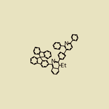 CCC1C(c2ccc(-c3ccc(-c4ccccc4)nc3-c3ccccc3)cc2)=NC(c2ccc3c(c2)C2(c4ccccc4-c4ccccc42)c2ccccc2-3)=C2C=CC=CC21